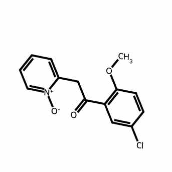 COc1ccc(Cl)cc1C(=O)Cc1cccc[n+]1[O-]